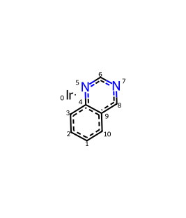 [Ir].c1ccc2ncncc2c1